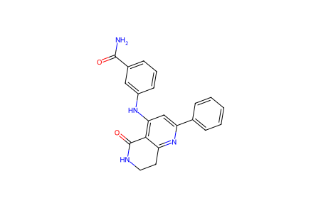 NC(=O)c1cccc(Nc2cc(-c3ccccc3)nc3c2C(=O)NCC3)c1